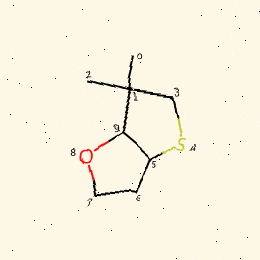 CC1(C)CSC2CCOC21